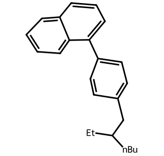 CCCCC(CC)Cc1ccc(-c2cccc3ccccc23)cc1